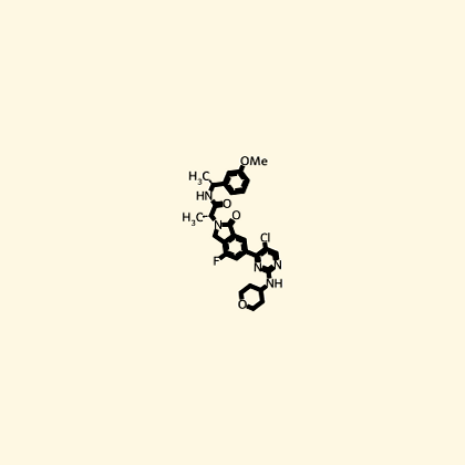 COc1cccc([C@@H](C)NC(=O)[C@@H](C)N2Cc3c(F)cc(-c4nc(NC5CCOCC5)ncc4Cl)cc3C2=O)c1